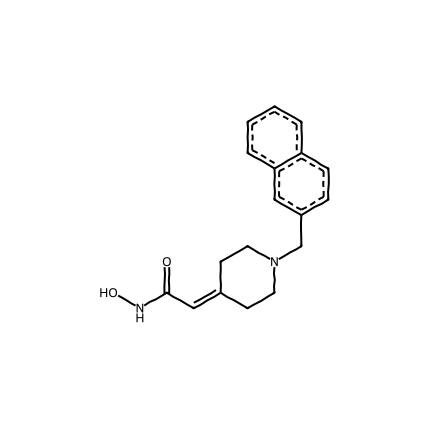 O=C(C=C1CCN(Cc2ccc3ccccc3c2)CC1)NO